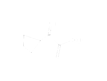 C=C(C(=N)C1CCC1)C(=O)O